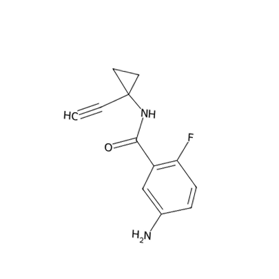 C#CC1(NC(=O)c2cc(N)ccc2F)CC1